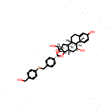 C[C@]12C=CC(O)C=C1CC[C@@H]1[C@@H]2[C@@H](O)C[C@@]2(C)[C@H]1C[C@H]1O[C@@H](c3ccc(CSc4ccc(CO)cc4)cc3)O[C@]12C(=O)CO